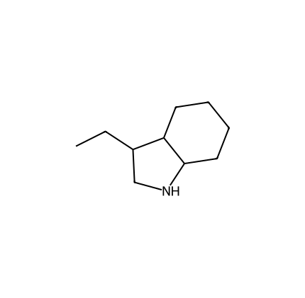 CCC1CNC2CCCCC12